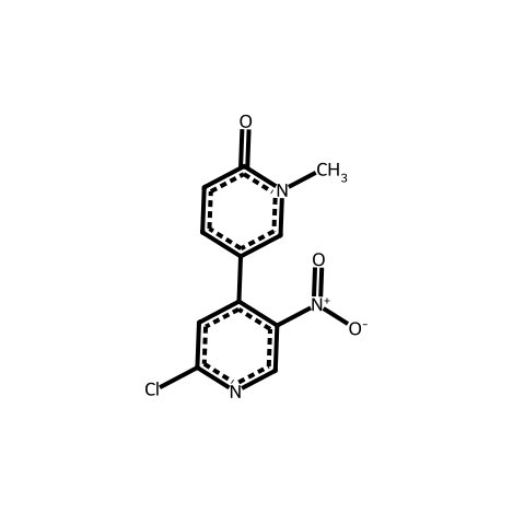 Cn1cc(-c2cc(Cl)ncc2[N+](=O)[O-])ccc1=O